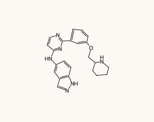 c1cc(OCC2CCCCN2)cc(-c2nccc(Nc3ccc4[nH]ncc4c3)n2)c1